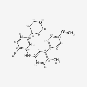 COc1ccc(-c2cc(Nc3nc(N4CCOCC4)ncc3F)nnc2C)cc1